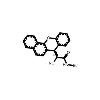 [CH2]CNC(=O)/C(C#N)=C1\c2ccccc2Oc2c1ccc1ccccc21